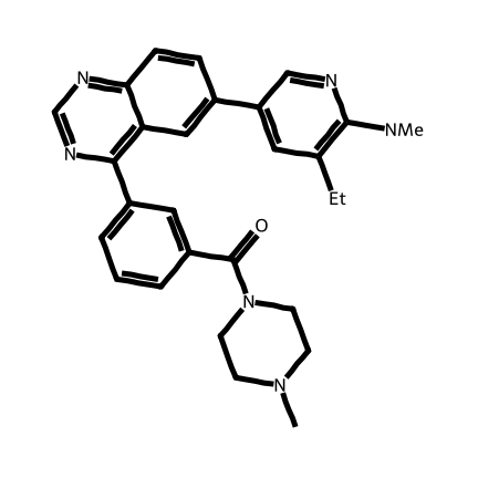 CCc1cc(-c2ccc3ncnc(-c4cccc(C(=O)N5CCN(C)CC5)c4)c3c2)cnc1NC